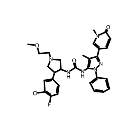 COCCN1CC(NC(=O)Nc2c(C)c(-c3ccc(=O)n(C)c3)nn2-c2ccccc2)C(c2ccc(F)c(Cl)c2)C1